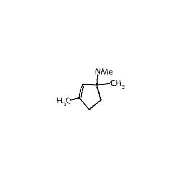 CNC1(C)C=C(C)CC1